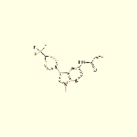 C=CC(=O)Nc1cnc2c(c1)c(-c1ccc(C(F)(F)F)cc1)cn2C